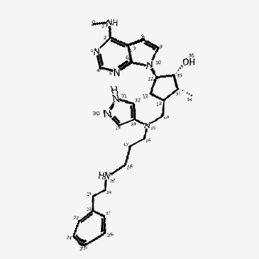 CNc1ncnc2c1ccn2[C@@H]1C[C@H](CN(CCCNCCc2ccccc2)c2cn[nH]c2)[C@@H](C)[C@H]1O